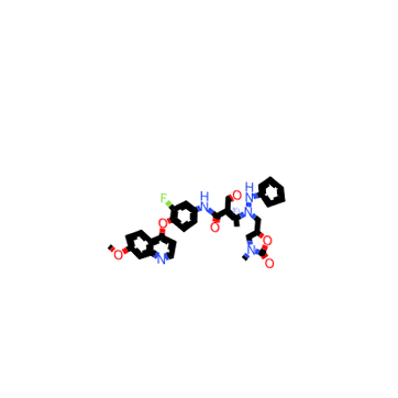 COc1ccc2c(Oc3ccc(NC(=O)/C(C=O)=C(\C)N(CC4CN(C)C(=O)O4)Nc4ccccc4)cc3F)ccnc2c1